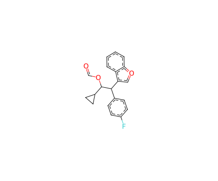 O=COC(C1CC1)C(c1ccc(F)cc1)c1coc2ccccc12